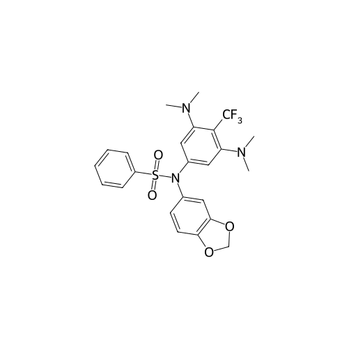 CN(C)c1cc(N(c2ccc3c(c2)OCO3)S(=O)(=O)c2ccccc2)cc(N(C)C)c1C(F)(F)F